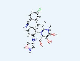 C[C@H](c1nc(C(=O)Nc2cnoc2)c(O)c(=O)n1C)[C@H](c1ccccc1)c1cc(Cl)ccc1C#N